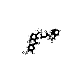 CC[C@@H](NC(C)CC(=O)N1C2CC3CCC2(CS1(=O)=O)C3(C)C)c1ccc(Cl)c(C(=O)c2ccc([N+](=O)[O-])c(C)c2)c1F